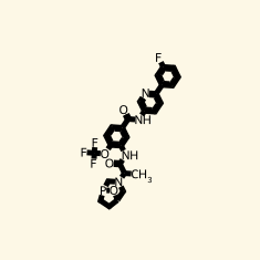 CC(C(=O)Nc1cc(C(=O)Nc2ccc(-c3cccc(F)c3)nc2)ccc1OC(F)(F)F)N1CC2CCP(C1)O2